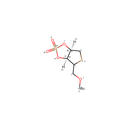 CCCCOCC1SC[C@@H]2OS(=O)(=O)O[C@H]12